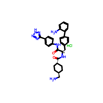 Cl.NC[C@H]1CC[C@H](C(=O)N[C@@H](Cc2ccc(-c3ccccc3N)cc2)C(=O)Nc2ccc(-c3nn[nH]n3)cc2)CC1